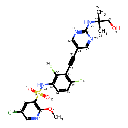 COc1ncc(Cl)cc1S(=O)(=O)Nc1ccc(F)c(C#Cc2cnc(NC(C)(C)CO)nc2)c1F